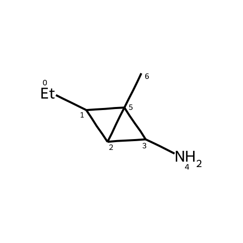 CCC1C2C(N)C12C